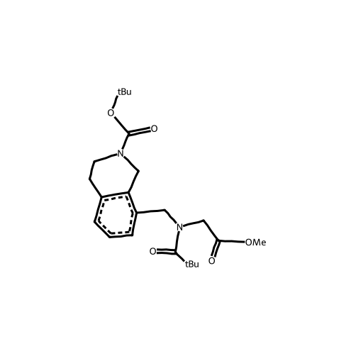 COC(=O)CN(Cc1cccc2c1CN(C(=O)OC(C)(C)C)CC2)C(=O)C(C)(C)C